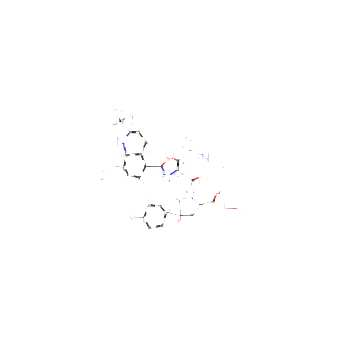 CCOC(=O)C1CC(O)(c2ccc(F)cc2)CN1C(=O)c1nc(-c2ccc(OC)c3nc(C(F)(F)F)ccc23)oc1[C@H](C)N